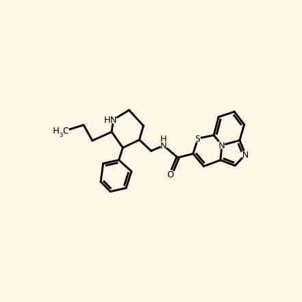 CCCC1NCCC(CNC(=O)C2=Cc3cnc4cccc(n34)S2)C1c1ccccc1